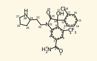 NC(=O)c1cc2c(c(C(F)(F)F)c1)C(O)(c1ccccc1Cl)C(=O)N2CCC1CCCN1